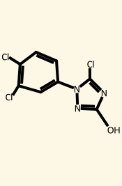 Oc1nc(Cl)n(-c2ccc(Cl)c(Cl)c2)n1